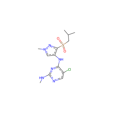 CNc1ncc(Cl)c(Nc2cn(C)nc2S(=O)(=O)CC(C)C)n1